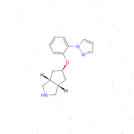 c1ccc(-n2cccn2)c(O[C@@H]2C[C@H]3CNC[C@H]3C2)c1